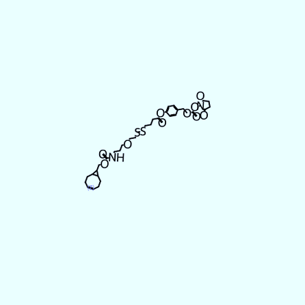 O=C(CCCSSCCOCCCNC(=O)OCC1C2CC/C=C\CCC21)Oc1ccc(COC(=O)ON2C(=O)CCC2=O)cc1